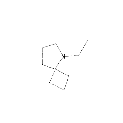 CCN1CCCC12CCC2